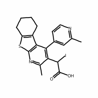 Cc1cc(-c2c(C(I)C(=O)O)c(C)nc3sc4c(c23)CCCC4)ccn1